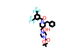 CC(C)(C)OC(=O)N1CCN(CC2(O)CCN(C(=O)c3cc(C(F)(F)F)cc(C(F)(F)F)c3)C(Cc3ccccc3)C2)CC1